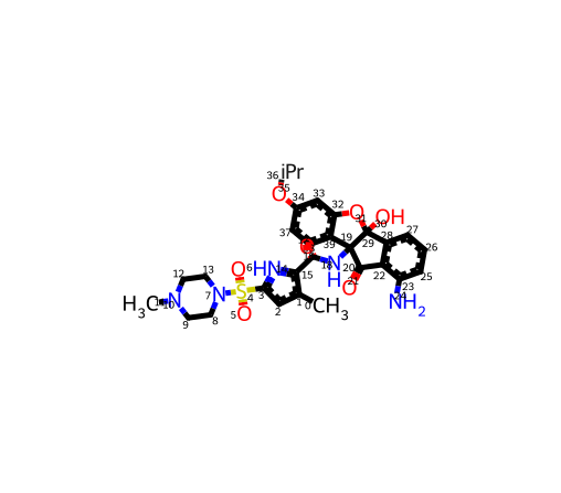 Cc1cc(S(=O)(=O)N2CCN(C)CC2)[nH]c1C(=O)NC12C(=O)c3c(N)cccc3C1(O)Oc1cc(OC(C)C)ccc12